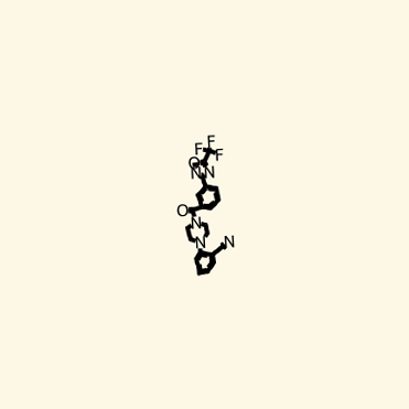 N#Cc1ccccc1N1CCN(C(=O)c2cccc(-c3noc(C(F)(F)F)n3)c2)CC1